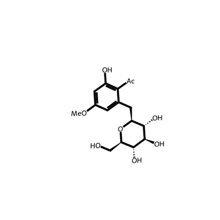 COc1cc(O)c(C(C)=O)c(C[C@@H]2O[C@H](CO)[C@@H](O)[C@H](O)[C@H]2O)c1